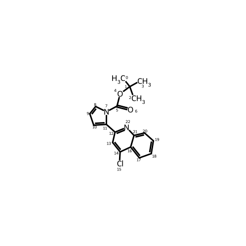 CC(C)(C)OC(=O)n1cccc1-c1cc(Cl)c2ccccc2n1